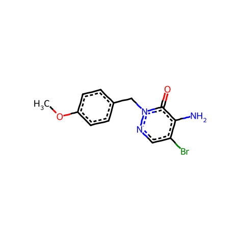 COc1ccc(Cn2ncc(Br)c(N)c2=O)cc1